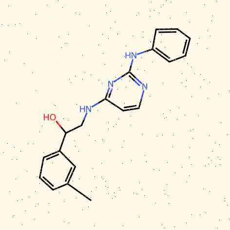 Cc1cccc(C(O)CNc2ccnc(Nc3ccccc3)n2)c1